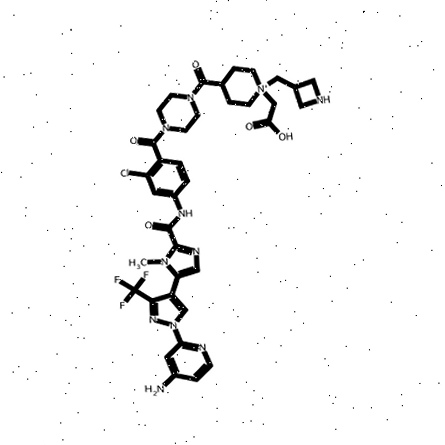 Cn1c(-c2cn(-c3cc(N)ccn3)nc2C(F)(F)F)cnc1C(=O)Nc1ccc(C(=O)N2CCN(C(=O)C3CC[N+](CC(=O)O)(CC4CNC4)CC3)CC2)c(Cl)c1